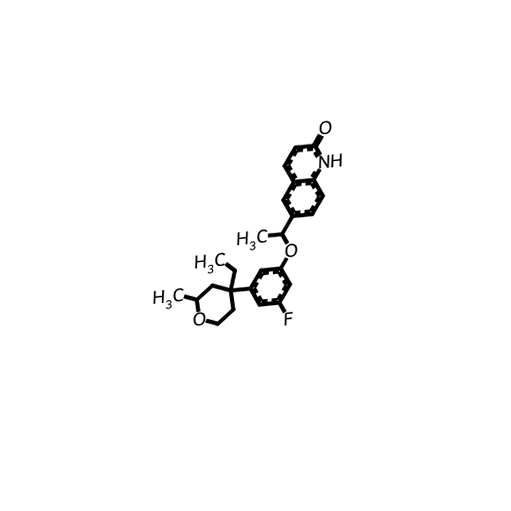 CCC1(c2cc(F)cc(OC(C)c3ccc4[nH]c(=O)ccc4c3)c2)CCOC(C)C1